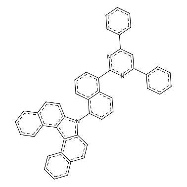 c1ccc(-c2cc(-c3ccccc3)nc(-c3cccc4c(-n5c6ccc7ccccc7c6c6c7ccccc7ccc65)cccc34)n2)cc1